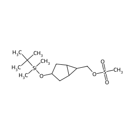 CC(C)(C)[Si](C)(C)OC1CC2C(COS(C)(=O)=O)C2C1